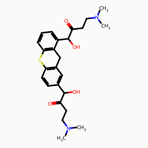 CN(C)CCC(=O)C(O)c1ccc2c(c1)Cc1c(cccc1C(O)C(=O)CCN(C)C)S2